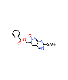 CSc1ncc2cc(COC(=O)c3ccccc3)[n+]([O-])cc2n1